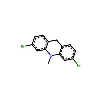 CN1c2cc(Br)ccc2Cc2ccc(Br)cc21